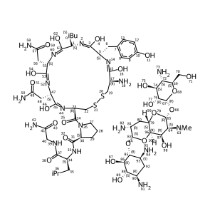 CC[C@H](C)[C@@H]1N=C(O)[C@H](Cc2ccc(O)cc2)N=C(O)[C@@H](N)CSSC[C@@H](C(=O)N2CCC[C@H]2C(=O)N[C@@H](CC(C)C)C(=O)NCC(N)=O)N=C(O)[C@H](CC(N)=O)N=C(O)[C@H](CC(N)=O)N=C1O.CN[C@@H]1[C@@H](O[C@H]2O[C@H](CO)[C@@H](N)[C@H](O)[C@H]2O)O[C@H]2C[C@@H](N)[C@@H](O[C@H]3[C@H](O)[C@@H](O)[C@H](N)C[C@@H]3N)O[C@@H]2[C@@H]1O